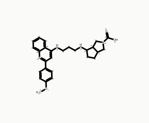 COc1ccc(-c2cc(NCCCNC3CCC4CN(C(=O)O)CC43)c3ccccc3n2)cc1